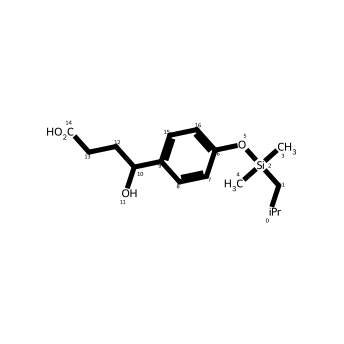 CC(C)C[Si](C)(C)Oc1ccc(C(O)CCC(=O)O)cc1